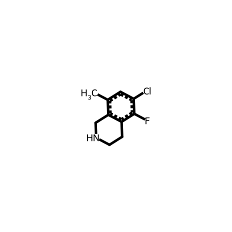 Cc1cc(Cl)c(F)c2c1CNCC2